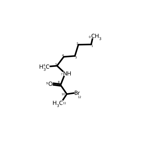 CCCCCC(C)NC(=O)C(C)Br